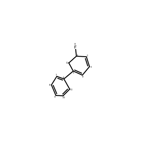 FC1C=CC=C(c2ccccc2)C1